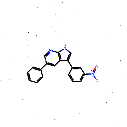 O=[N+]([O-])c1cccc(-c2c[nH]c3ncc(-c4ccccc4)cc23)c1